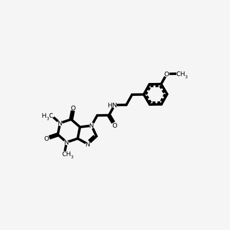 COc1cccc(CCNC(=O)CN2C=NC3C2C(=O)N(C)C(=O)N3C)c1